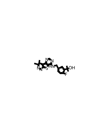 Cc1nnc2sc3c(NCc4ccc(F)c(C(C)(C)O)c4)ncnc3c2c1C